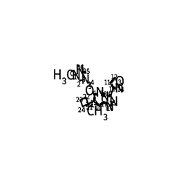 CN1CN(COc2nn3c(-c4ccon4)nnc3cc2C2(C)CCC2)C=N1